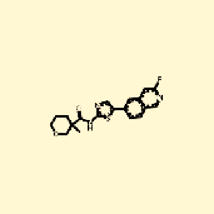 CC1(C(=O)Nc2ncc(-c3ccc4cnc(F)cc4c3)s2)CCCOC1